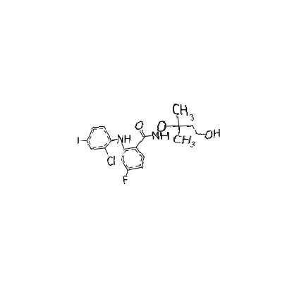 CC(C)(CCO)ONC(=O)c1ccc(F)cc1Nc1ccc(I)cc1Cl